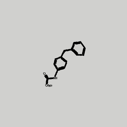 [CH2]OC(=O)Nc1ccc(Cc2ccccc2)cc1